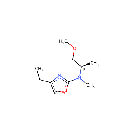 CCc1coc(N(C)[C@H](C)COC)n1